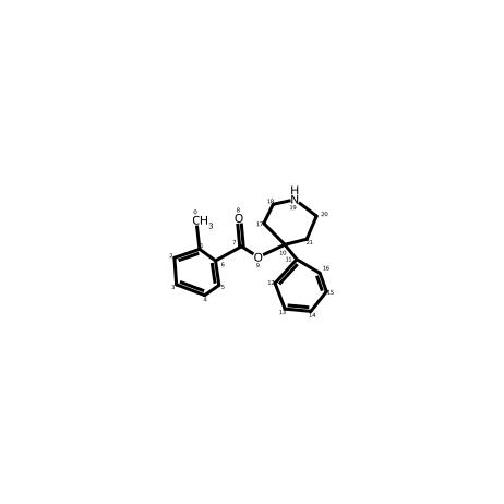 Cc1ccccc1C(=O)OC1(c2ccccc2)CCNCC1